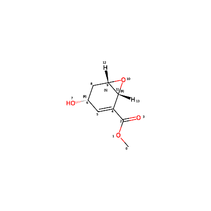 COC(=O)C1=C[C@H](O)C[C@@H]2O[C@H]12